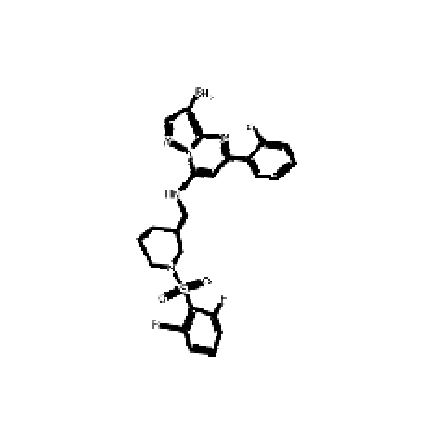 Bc1cnn2c(NCC3CCCN(S(=O)(=O)c4c(F)cccc4F)C3)cc(-c3ccccc3Cl)nc12